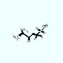 C=C(C)C(=O)CC(F)(F)S(=O)(=O)O